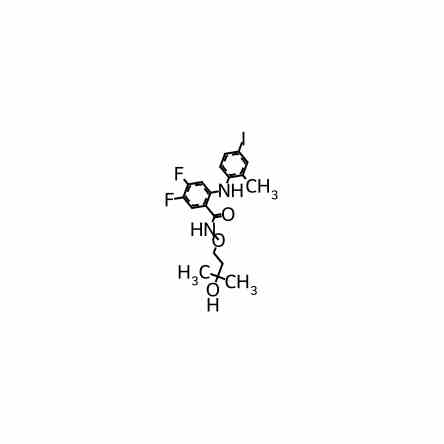 Cc1cc(I)ccc1Nc1cc(F)c(F)cc1C(=O)NOCCC(C)(C)O